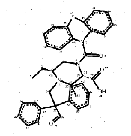 CC[C@H]1CN(C(=O)N2c3ccccc3Sc3ccccc32)[C@H](C(=O)O)C(C)N1CC(C=O)(c1ccccc1)c1ccccc1